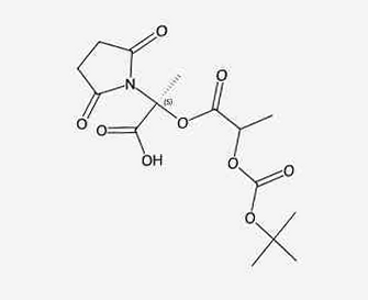 CC(OC(=O)OC(C)(C)C)C(=O)O[C@@](C)(C(=O)O)N1C(=O)CCC1=O